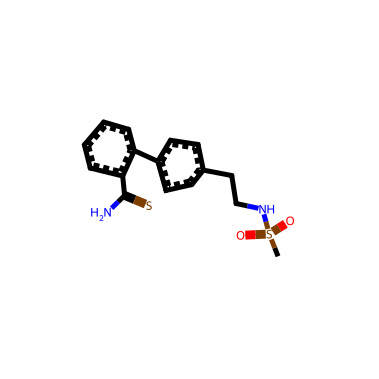 CS(=O)(=O)NCCc1ccc(-c2ccccc2C(N)=S)cc1